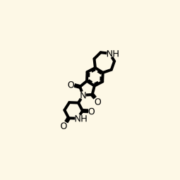 O=C1CCC(N2C(=O)c3cc4c(cc3C2=O)CCNCC4)C(=O)N1